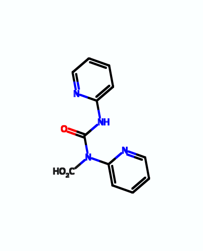 O=C(O)N(C(=O)Nc1ccccn1)c1ccccn1